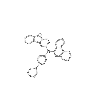 c1ccc(-c2ccc(N(c3ccc4oc5ccccc5c4c3)c3cc4ccccc4c4ccccc34)cc2)cc1